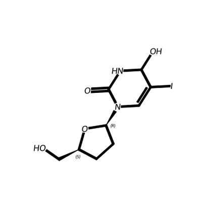 O=C1NC(O)C(I)=CN1[C@H]1CC[C@@H](CO)O1